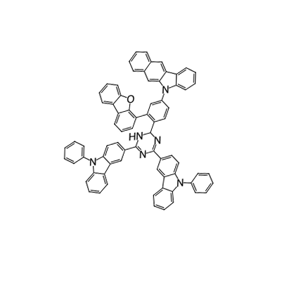 c1ccc(-n2c3ccccc3c3cc(C4=NC(c5ccc(-n6c7ccccc7c7cc8ccccc8cc76)cc5-c5cccc6c5oc5ccccc56)NC(c5ccc6c(c5)c5ccccc5n6-c5ccccc5)=N4)ccc32)cc1